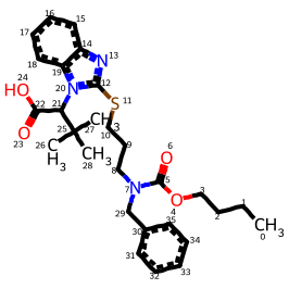 CCCCOC(=O)N(CCCSc1nc2ccccc2n1C(C(=O)O)C(C)(C)C)Cc1ccccc1